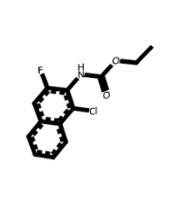 CCOC(=O)Nc1c(F)cc2ccccc2c1Cl